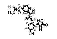 CN(C)S(=O)(=O)c1ccc2onc(C(=O)Nc3ccc(C#N)cc3-c3noc(=O)[nH]3)c2c1